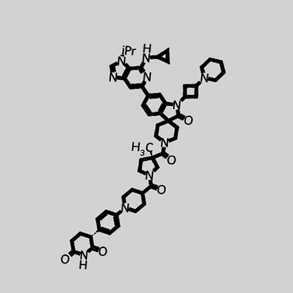 CC(C)n1cnc2cc(-c3ccc4c(c3)N(C3CC(N5CCCCC5)C3)C(=O)C43CCN(C(=O)[C@]4(C)CCN(C(=O)C5CCN(c6ccc([C@H]7CCC(=O)NC7=O)cc6)CC5)C4)CC3)nc(NC3CC3)c21